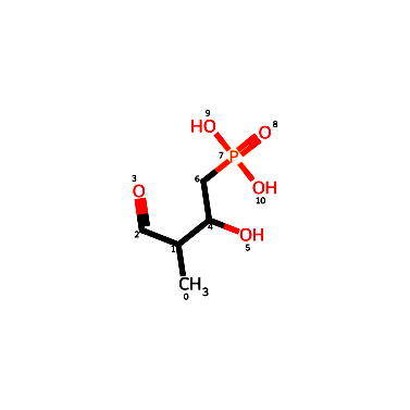 CC(C=O)C(O)CP(=O)(O)O